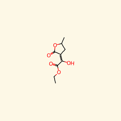 CCOC(=O)C(O)=C1CC(C)OC1=O